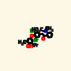 Cc1cc(Oc2c(Br)cc(CC(=O)c3ccccc3N(C)CC(=O)O)cc2Br)cc(C(C)C)c1O